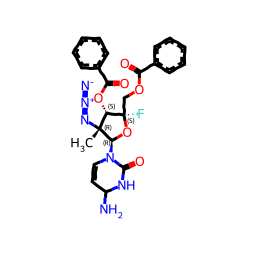 C[C@]1(N=[N+]=[N-])[C@H](N2C=CC(N)NC2=O)O[C@](F)(COC(=O)c2ccccc2)[C@H]1OC(=O)c1ccccc1